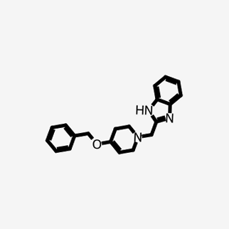 C1=C(OCc2ccccc2)CCN(Cc2nc3ccccc3[nH]2)C1